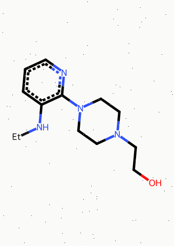 CCNc1cccnc1N1CCN(CCO)CC1